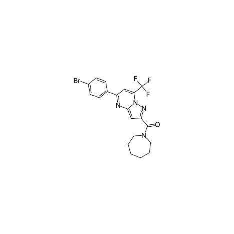 O=C(c1cc2nc(-c3ccc(Br)cc3)cc(C(F)(F)F)n2n1)N1CCCCCC1